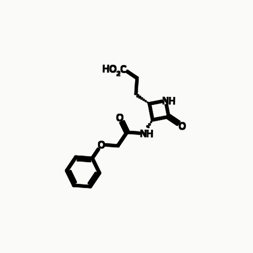 O=C(O)CC[C@@H]1NC(=O)[C@@H]1NC(=O)COc1ccccc1